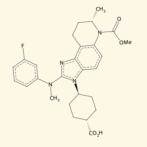 COC(=O)N1c2ccc3c(nc(N(C)c4cccc(F)c4)n3[C@H]3CC[C@H](C(=O)O)CC3)c2CC[C@@H]1C